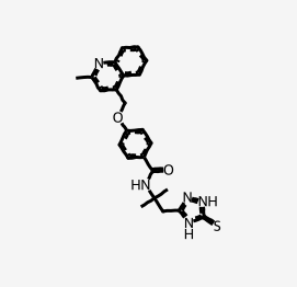 Cc1cc(COc2ccc(C(=O)NC(C)(C)Cc3n[nH]c(=S)[nH]3)cc2)c2ccccc2n1